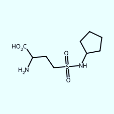 NC(CCS(=O)(=O)NC1CCCC1)C(=O)O